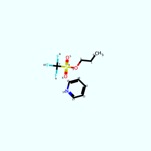 CCCOS(=O)(=O)C(F)(F)F.c1ccncc1